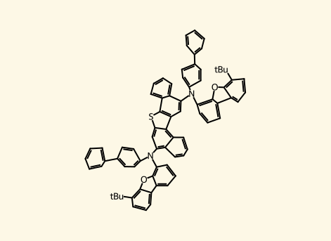 CC(C)(C)c1cccc2c1oc1c(N(c3ccc(-c4ccccc4)cc3)c3cc4c(sc5cc(N(c6ccc(-c7ccccc7)cc6)c6cccc7c6oc6c(C(C)(C)C)cccc67)c6ccccc6c54)c4ccccc34)cccc12